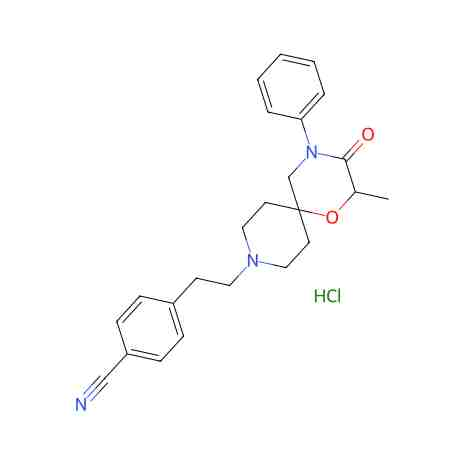 CC1OC2(CCN(CCc3ccc(C#N)cc3)CC2)CN(c2ccccc2)C1=O.Cl